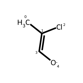 CC(Cl)=C[O]